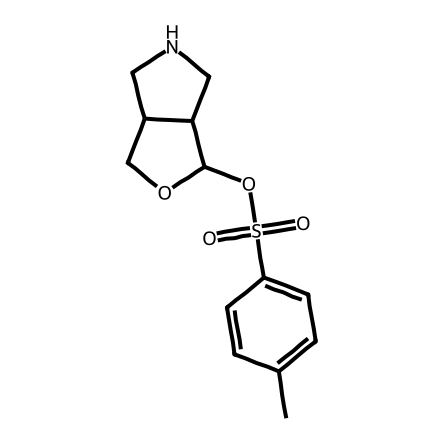 Cc1ccc(S(=O)(=O)OC2OCC3CNCC32)cc1